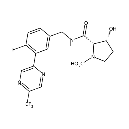 O=C(NCc1ccc(F)c(-c2cnc(C(F)(F)F)cn2)c1)[C@@H]1[C@H](O)CCN1C(=O)O